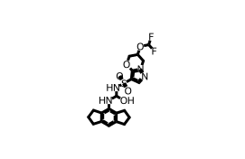 O=S(=O)(NC(O)Nc1c2c(cc3c1CCC3)CCC2)c1cnn2c1OCC(OC(F)F)C2